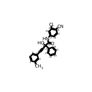 Cc1cccc(C#CC(O)(C(=O)Nc2ccc(C#N)c(Cl)c2)c2ccccc2)c1